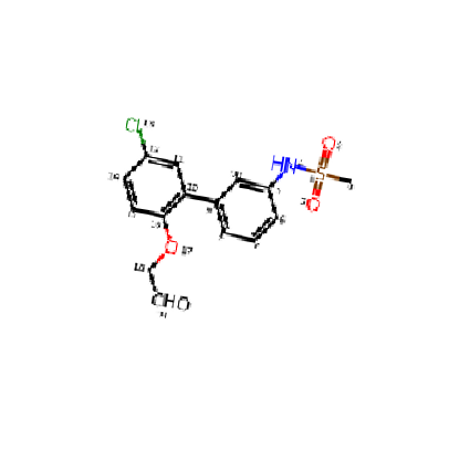 CS(=O)(=O)Nc1cccc(-c2cc(Cl)ccc2OCC=O)c1